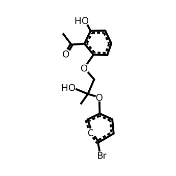 CC(=O)c1c(O)cccc1OCC(C)(O)Oc1ccc(Br)cc1